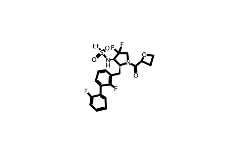 CCS(=O)(=O)N[C@@H]1[C@H](Cc2cccc(-c3ccccc3F)c2F)N(C(=O)C2CCO2)CC1(F)F